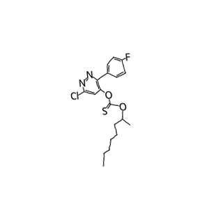 CCCCCCC(C)OC(=S)Oc1cc(Cl)nnc1-c1ccc(F)cc1